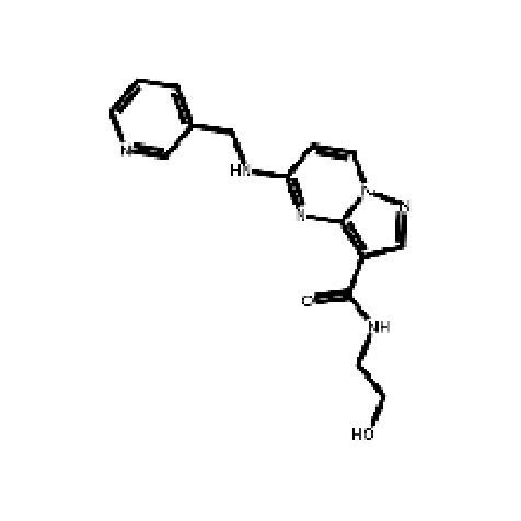 O=C(NCCO)c1cnn2ccc(NCc3cccnc3)nc12